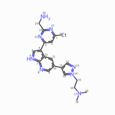 CCc1cc(-c2c[nH]c3ncc(-c4cnn(CCN(C)C)c4)cc23)nc(CN)n1